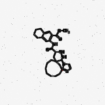 COC(=O)c1cc2c(cc1NC(=O)C1CC3(CCCCCCCCC3)C(n3ccnc3)NN1)CCCC2